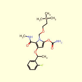 CNC(=O)c1c(OC(C)c2ccccc2F)cc(OC(N)=O)n1COCC[Si](C)(C)C